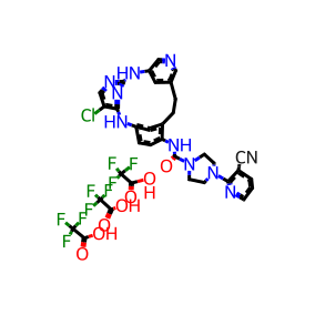 N#Cc1cccnc1N1CCN(C(=O)Nc2ccc3cc2CCc2cncc(c2)Nc2ncc(Cl)c(n2)N3)CC1.O=C(O)C(F)(F)F.O=C(O)C(F)(F)F.O=C(O)C(F)(F)F